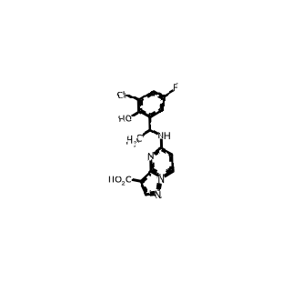 CC(Nc1ccn2ncc(C(=O)O)c2n1)c1cc(F)cc(Cl)c1O